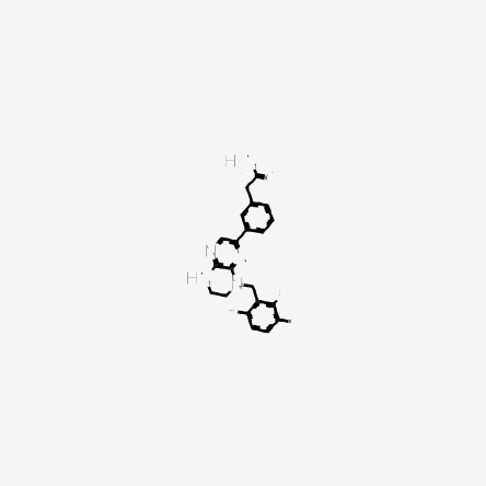 NC(=O)Cc1cccc(-c2cnc3c(n2)N(Cc2c(F)ccc(F)c2Cl)CCN3)c1